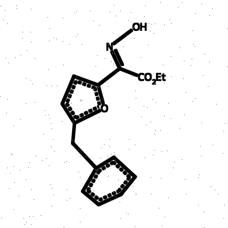 CCOC(=O)C(=NO)c1ccc(Cc2ccccc2)o1